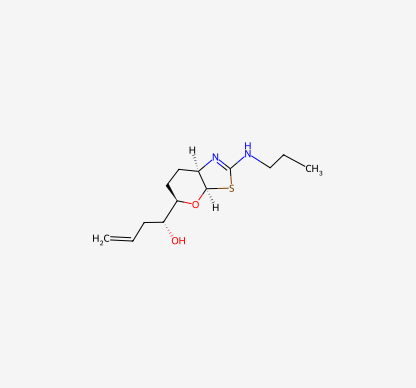 C=CC[C@@H](O)[C@H]1CC[C@H]2N=C(NCCC)S[C@H]2O1